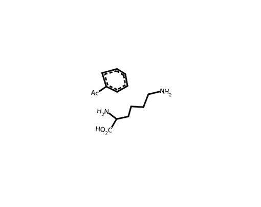 CC(=O)c1ccccc1.NCCCCC(N)C(=O)O